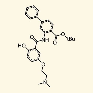 CN(C)CCOc1ccc(O)c(C(=O)Nc2cc(-c3ccccc3)ccc2C(=O)OC(C)(C)C)c1